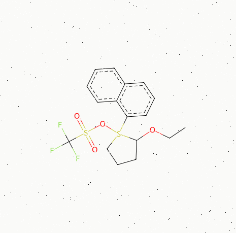 CCOC1CCCS1(OS(=O)(=O)C(F)(F)F)c1cccc2ccccc12